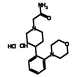 Cl.Cl.NC(=O)CN1CCC(c2ccccc2N2CCOCC2)CC1